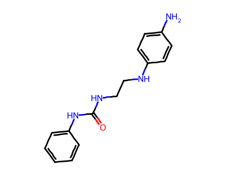 Nc1ccc(NCCNC(=O)Nc2ccccc2)cc1